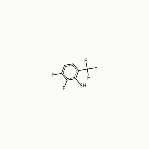 Fc1ccc(C(F)(F)F)c(S)c1F